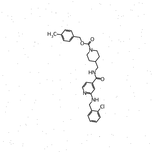 Cc1ccc(COC(=O)N2CCC(CNC(=O)c3ccnc(NCc4ccccc4Cl)c3)CC2)cc1